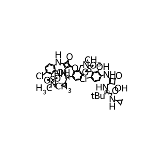 CN(C)S(=O)(=O)c1c(Cl)ccc(Nc2c(N[C@@H](c3cccc(CN(C)S(=O)(=O)c4c(Cl)ccc(NC5=C(N[C@@H](C(=O)NC6CC6)C(C)(C)C)C(O)C5=O)c4O)c3)C3CC3)c(=O)c2=O)c1O